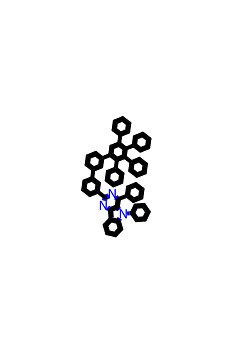 c1ccc(-c2cc(-c3cccc(-c4cccc(-c5nc(-c6ccccc6)c6c(n5)c5ccccc5n6-c5ccccc5)c4)c3)c(-c3ccccc3)c(-c3ccccc3)c2-c2ccccc2)cc1